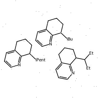 CCC(C)C1CCCc2cccnc21.CCC(CC)C1CCCc2cccnc21.CCCC(C)C1CCCc2cccnc21